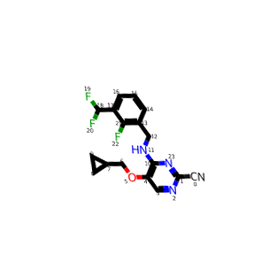 N#Cc1ncc(OCC2CC2)c(NCc2cccc(C(F)F)c2F)n1